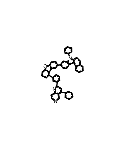 c1ccc(-c2cc(-c3cccc(-c4cccc5oc6ccc(-c7ccc8c9c%10ccccc%10ccc9n(-c9ccccc9)c8c7)cc6c45)c3)nc3ccncc23)cc1